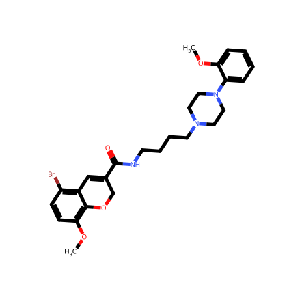 COc1ccccc1N1CCN(CCCCNC(=O)C2=Cc3c(Br)ccc(OC)c3OC2)CC1